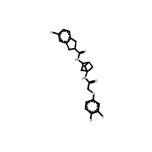 O=C(COc1ccc(Cl)c(F)c1)NC12CC(C1)C(NC(=O)C1Cc3ccc(Cl)cc3C1)C2